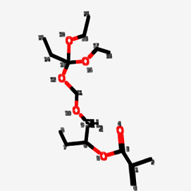 C=C(C)C(=O)OC(CC)[SiH2]OCOC(CC)(OCC)OCC